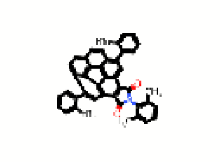 Cc1cccc(C)c1-n1c(=O)c2c3cc(-c4ccccc4C(C)(C)C)c4ccc5ccc6c(-c7ccccc7C(C)(C)C)cc(c2c1=O)c1c6c5c4c31